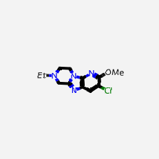 CCN1CCn2c(nc3cc(Cl)c(OC)nc32)C1